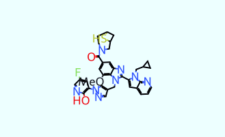 COc1cc(C(=O)N2CC3CC4CC2[SH]43)cc2nc(-c3cc4cccnc4n3CC3CC3)n(Cc3cnn(-c4cc(F)cnc4O)c3)c12